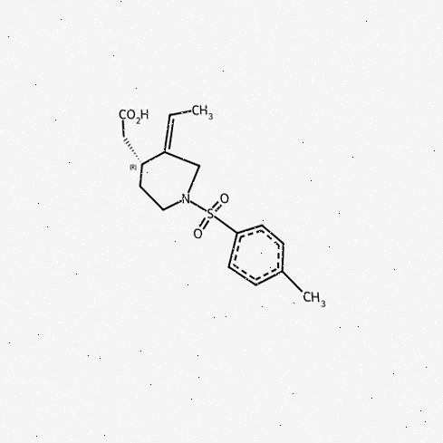 CC=C1CN(S(=O)(=O)c2ccc(C)cc2)CC[C@@H]1CC(=O)O